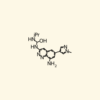 CC(C)NC(O)Nc1cc2cc(-c3cnn(C)c3)cc(N)c2nn1